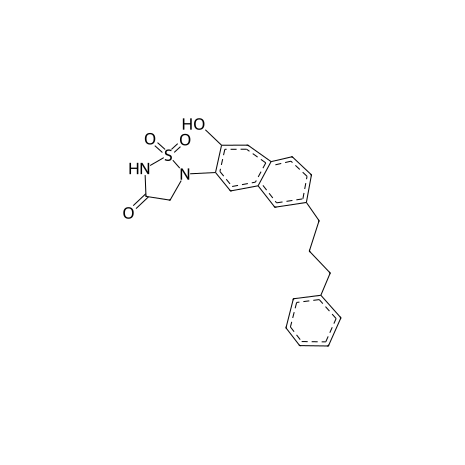 O=C1CN(c2cc3cc(CCCc4ccccc4)ccc3cc2O)S(=O)(=O)N1